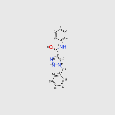 O=C(Nc1ccccc1)c1cn(Cc2ccccc2)nn1